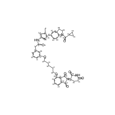 Cc1sc(NC(=O)Cc2cccc(OCCCCCOc3cccc4c3C(=O)N(C3CCC(=O)NC3=O)C4=O)c2)nc1-c1ccc2c(c1)CCN2C(=O)C1CC1